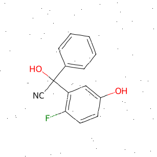 N#CC(O)(c1ccccc1)c1cc(O)ccc1F